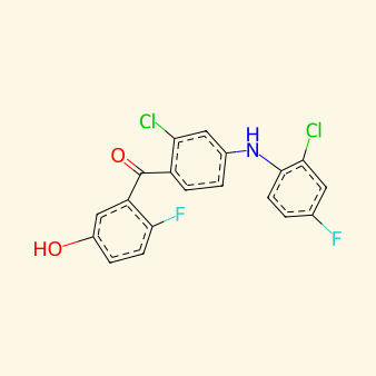 O=C(c1cc(O)ccc1F)c1ccc(Nc2ccc(F)cc2Cl)cc1Cl